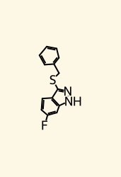 Fc1ccc2c(SCc3ccccc3)n[nH]c2c1